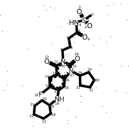 CS(=O)(=O)NC(=O)CCCn1c(=O)c2cc(F)c(NC3CCCCC3)cc2n(C2CCCC2)c1=O